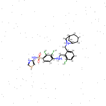 O=S(=O)(Nc1cscn1)c1ccc(NCc2c(F)cccc2CN2CC3CCCC2C3)c(F)c1F